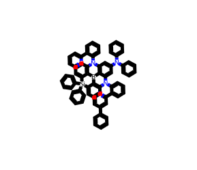 c1ccc(-c2ccnc(-c3ccccc3N3c4cc(N(c5ccccc5)c5ccccc5)cc5c4B4c6c(cccc6[Si](c6ccccc6)(c6ccccc6)c6cccc3c64)N5c3ccccc3-c3ccccn3)c2)cc1